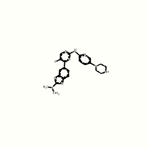 CN(C)c1nc2ccc(-c3nc(Nc4ccc(N5CCNCC5)cn4)ncc3F)cc2s1